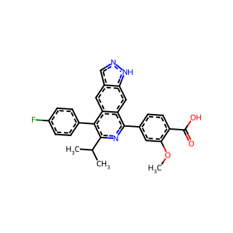 COc1cc(-c2nc(C(C)C)c(-c3ccc(F)cc3)c3cc4cn[nH]c4cc23)ccc1C(=O)O